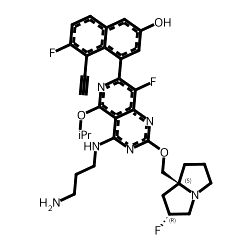 C#Cc1c(F)ccc2cc(O)cc(-c3nc(OC(C)C)c4c(NCCCN)nc(OC[C@@]56CCCN5C[C@H](F)C6)nc4c3F)c12